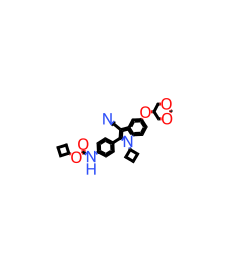 N#Cc1c(-c2ccc(NC(=O)OC3CCC3)cc2)n(C2CCC2)c2ccc(OC3COCOC3)cc12